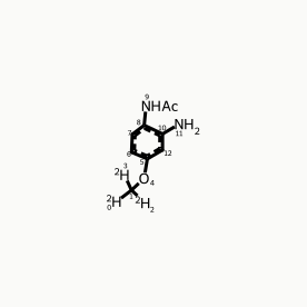 [2H]C([2H])([2H])Oc1ccc(NC(C)=O)c(N)c1